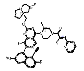 C#Cc1c(F)ccc2cc(O)cc(-c3ncc4c(N5CCN(C(=O)/C(F)=C/c6ncccn6)C[C@@H]5C)nc(OC[C@@]56CCCN5C[C@H](F)C6)nc4c3F)c12